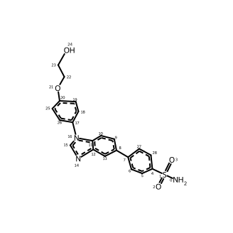 NS(=O)(=O)c1ccc(-c2ccc3c(c2)ncn3-c2ccc(OCCO)cc2)cc1